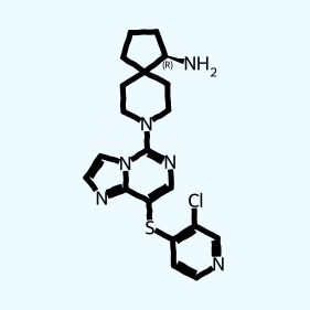 N[C@@H]1CCCC12CCN(c1ncc(Sc3ccncc3Cl)c3nccn13)CC2